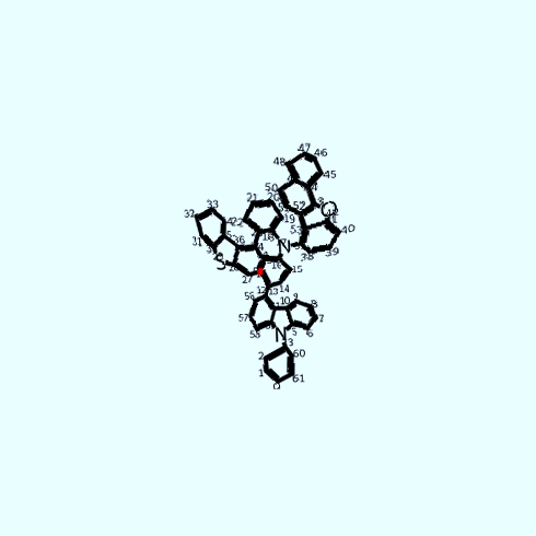 c1ccc(-n2c3ccccc3c3c(-c4ccc(N(c5ccccc5-c5cccc6sc7ccccc7c56)c5cccc6oc7c8ccccc8ccc7c56)cc4)cccc32)cc1